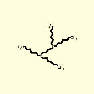 CCCCCCCP(CCCCCCC)CCCCP(CCCCCCC)CCCCCCC